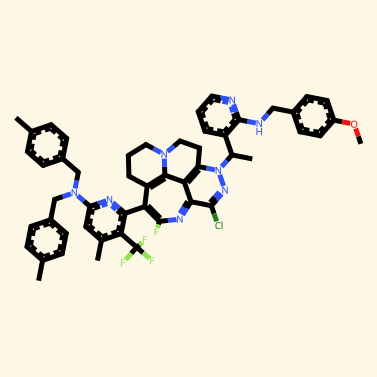 COc1ccc(CNc2ncccc2C(C)N2N=C(Cl)C3=NC(F)=C(c4nc(N(Cc5ccc(C)cc5)Cc5ccc(C)cc5)cc(C)c4C(F)(F)F)C4=C5C3=C2CCN5CCC4)cc1